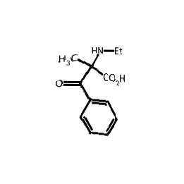 CCNC(C)(C(=O)O)C(=O)c1ccccc1